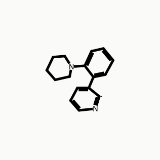 [c]1ncccc1-c1ccccc1N1CCCCC1